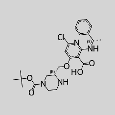 C[C@H](Nc1nc(Cl)cc(OC[C@H]2CN(C(=O)OC(C)(C)C)CCN2)c1C(=O)O)c1ccccc1